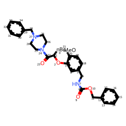 CCCCC(Oc1cc(CNC(=O)OCc2ccccc2)ccc1OC)C(=O)N1CCN(Cc2ccccc2)CC1